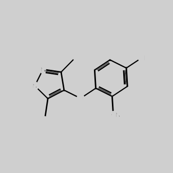 Cc1n[nH]c(C)c1Oc1ccc(Cl)cc1C#N